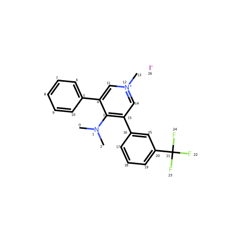 CN(C)c1c(-c2ccccc2)c[n+](C)cc1-c1cccc(C(F)(F)F)c1.[I-]